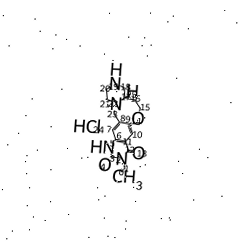 CCn1c(=O)[nH]c2cc3c(cc2c1=O)OCC[C@H]1CNCCN1C3.Cl